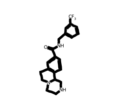 O=C(NCc1cccc(C(F)(F)F)c1)c1ccc2c(c1)CCN1CCNCC21